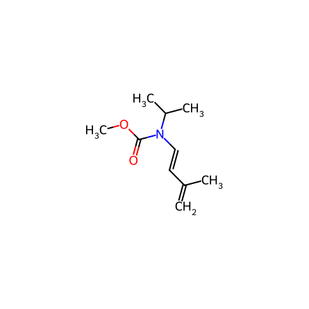 C=C(C)C=CN(C(=O)OC)C(C)C